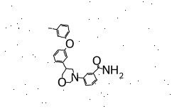 Cc1cccc(Oc2cccc(C3COCN(c4cccc(C(N)=O)c4)C3)c2)c1